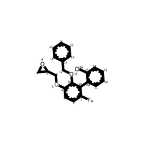 Fc1ccc(OCC2CO2)c(OCc2ccccc2)c1-c1ccccc1Cl